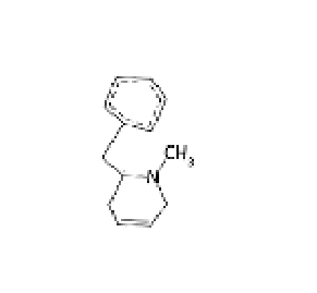 CN1CC=CC[C]1Cc1ccccc1